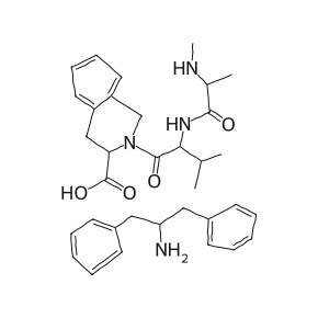 CNC(C)C(=O)NC(C(=O)N1Cc2ccccc2CC1C(=O)O)C(C)C.NC(Cc1ccccc1)Cc1ccccc1